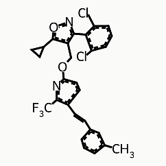 Cc1cccc(/C=C/c2ccc(OCc3c(-c4c(Cl)cccc4Cl)noc3C3CC3)nc2C(F)(F)F)c1